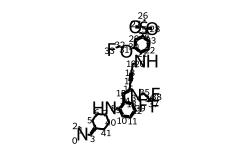 CN(C)C=C1CCC(Nc2cccc3c2cc(C#CCNc2ccc(S(C)(=O)=O)cc2OCF)n3CC(F)(F)F)CC1